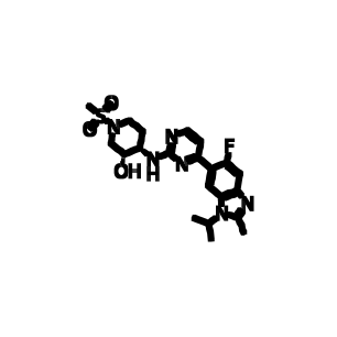 Cc1nc2cc(F)c(-c3ccnc(N[C@@H]4CCN(S(C)(=O)=O)C[C@H]4O)n3)cc2n1C(C)C